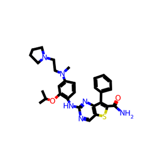 CC(C)Oc1cc(N(C)CCN2CCCC2)ccc1Nc1ncc2sc(C(N)=O)c(-c3ccccc3)c2n1